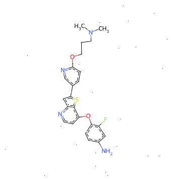 CN(C)CCCOc1ccc(-c2cc3nccc(Oc4ccc(N)cc4F)c3s2)cn1